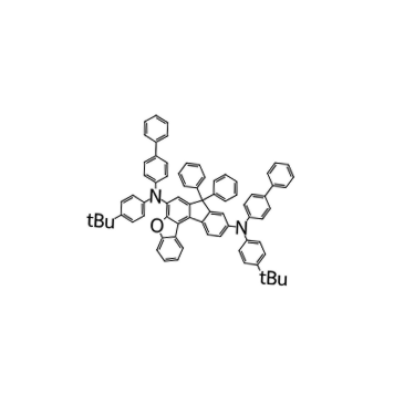 CC(C)(C)c1ccc(N(c2ccc(-c3ccccc3)cc2)c2ccc3c(c2)C(c2ccccc2)(c2ccccc2)c2cc(N(c4ccc(-c5ccccc5)cc4)c4ccc(C(C)(C)C)cc4)c4oc5ccccc5c4c2-3)cc1